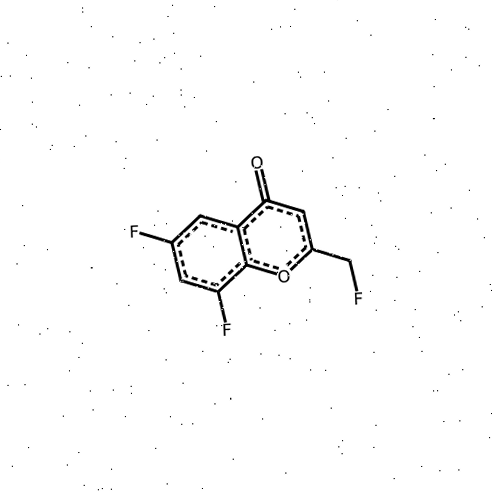 O=c1cc(CF)oc2c(F)cc(F)cc12